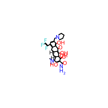 CN(C)[C@@H]1C(O)=C(C(N)=O)C(=O)[C@@]2(O)C(O)=C3C(=O)c4c(O)c(CN5CCCCC5)cc(C(F)=C(F)F)c4C[C@H]3C[C@@H]12